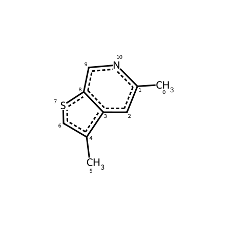 Cc1cc2c(C)csc2cn1